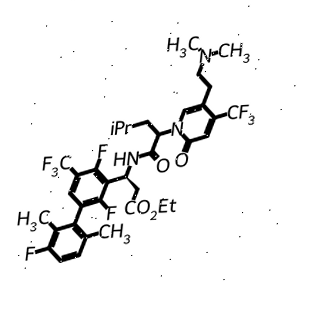 CCOC(=O)C[C@H](NC(=O)C(CC(C)C)n1cc(CCN(C)C)c(C(F)(F)F)cc1=O)c1c(F)c(-c2c(C)ccc(F)c2C)cc(C(F)(F)F)c1F